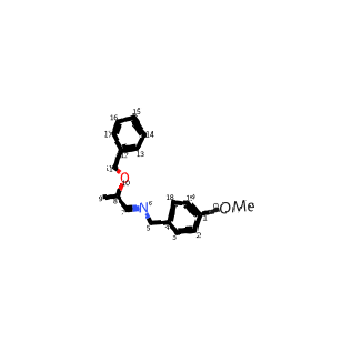 COc1ccc(CN=CC(C)OCc2ccccc2)cc1